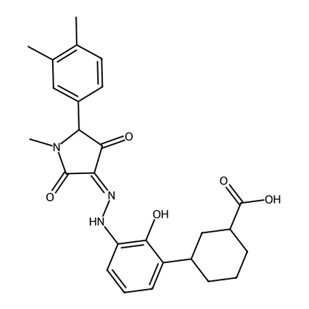 Cc1ccc(C2C(=O)C(=NNc3cccc(C4CCCC(C(=O)O)C4)c3O)C(=O)N2C)cc1C